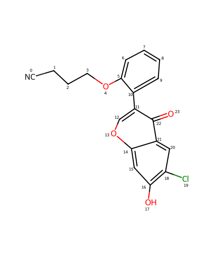 N#CCCCOc1ccccc1-c1coc2cc(O)c(Cl)cc2c1=O